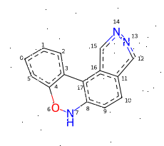 c1ccc2c(c1)ONc1ccc3cnncc3c1-2